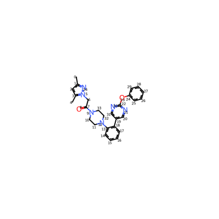 Cc1cc(C)n(CC(=O)N2CCN(c3ccccc3-c3cnc(Oc4ccccc4)nc3)CC2)n1